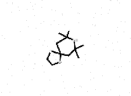 CC1(C)CC2(CC(C)(C)N1)OCCO2